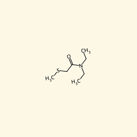 CCN(CC)C(=O)CSC